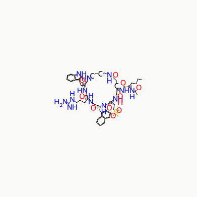 CCCC[C@@H](NC(C)=O)C(=O)N[C@H]1CCC(=O)NCCCCNC(=O)[C@H](Cc2c[nH]c3ccccc23)NC(=O)[C@H](CCCNC(=N)N)NC(=O)[C@@H](Cc2cccc3ccccc23)NC(=O)[C@H](CCS(C)(=O)=O)NC1O